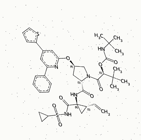 C=C[C@@H]1C[C@]1(NC(=O)[C@@H]1C[C@@H](Oc2cc(-c3cccs3)cc(-c3ccccc3)n2)CN1C(=O)[C@@H](OC(=O)NC(C)(C)C)C(C)(C)C)C(=O)NS(=O)(=O)C1CC1